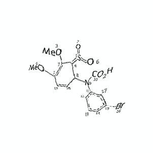 COC1=C(OC)C(=S(=O)=O)C(N(C(=O)O)c2cccc(Br)c2)C=C1